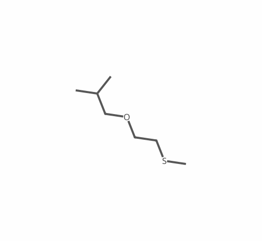 CSCCOCC(C)C